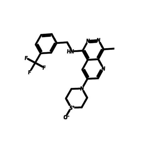 Cc1nnc(NCc2cccc(C(F)(F)F)c2)c2cc(N3CC[S+]([O-])CC3)cnc12